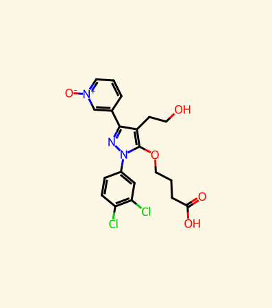 O=C(O)CCCOc1c(CCO)c(-c2ccc[n+]([O-])c2)nn1-c1ccc(Cl)c(Cl)c1